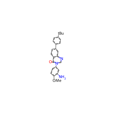 COc1ccc(-n2cnc3cc(-c4ccc(C(C)(C)C)cc4)ccc3c2=O)cc1N